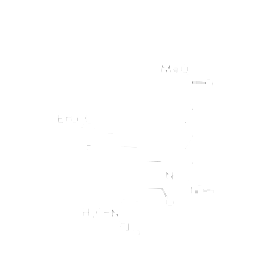 CCCCCCCCCCC(CCCCCCC(=O)OC)N(CCCCCC(F)C(=O)OCC)C(=O)CCCN(C)C